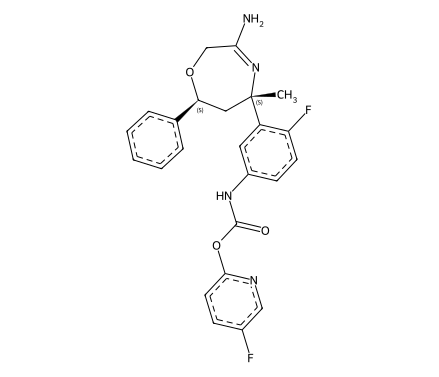 C[C@@]1(c2cc(NC(=O)Oc3ccc(F)cn3)ccc2F)C[C@@H](c2ccccc2)OCC(N)=N1